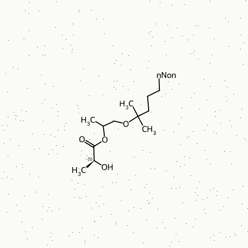 CCCCCCCCCCCCC(C)(C)OCC(C)OC(=O)[C@H](C)O